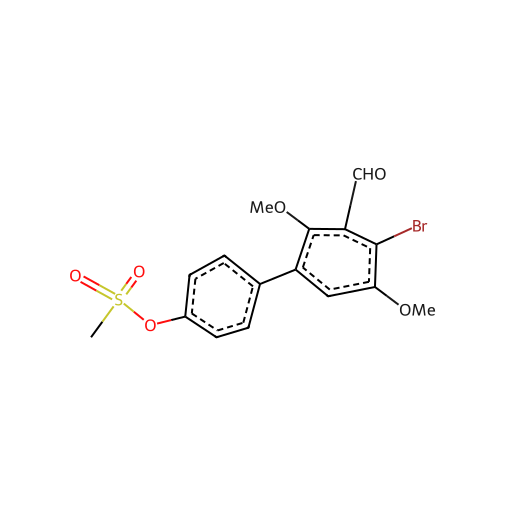 COc1cc(-c2ccc(OS(C)(=O)=O)cc2)c(OC)c(C=O)c1Br